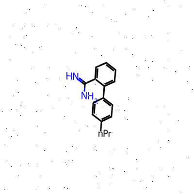 CCCc1ccc(-c2ccccc2C(=N)N)cc1